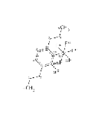 CCCc1ccc(CCC)c(S(F)(F)(F)(F)F)c1F